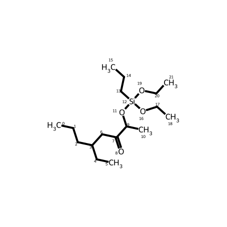 CCCC(CC)CC(=O)C(C)O[Si](CCC)(OCC)OCC